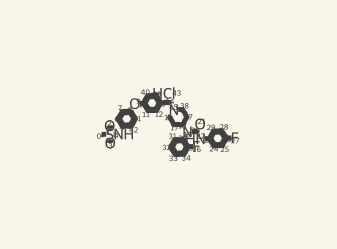 CS(=O)(=O)Nc1ccc(Oc2ccc(CN3CCC(N(C(=O)Nc4ccc(F)cc4)c4ccccc4F)CC3)cc2)cc1.Cl